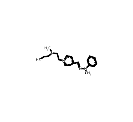 CN(CCS)CC[n+]1ccc(/C=N/N(C)c2ccccc2)cc1